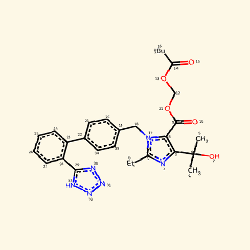 CCc1nc(C(C)(C)O)c(C(=O)OCOC(=O)C(C)(C)C)n1Cc1ccc(-c2ccccc2-c2nnn[nH]2)cc1